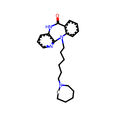 O=C1Nc2cccnc2N(CCCCCCN2CCCCCC2)c2ccccc21